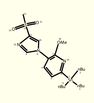 CCC[CH2][Sn]([CH2]CCC)([CH2]CCC)[c]1ccc(-n2cnc(S(C)(=O)=O)c2)c(OC)n1